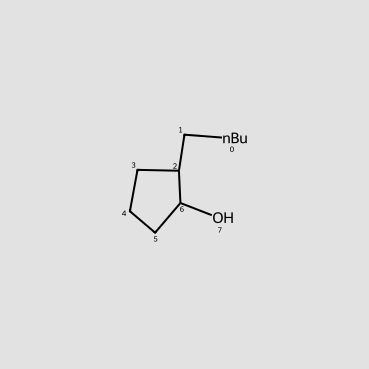 CCCCCC1CCCC1O